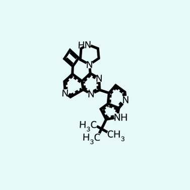 CC(C)(C)c1cc2c(-c3nc(N4CCNCC4)c4c(C5=CC=C5)cncc4n3)ccnc2[nH]1